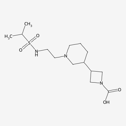 CC(C)S(=O)(=O)NCCN1CCCC(C2CN(C(=O)O)C2)C1